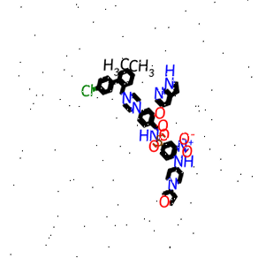 CC1(C)CCC(CN2CCN(c3ccc(C(=O)NS(=O)(=O)c4ccc(NC5CCN(C6CCOC6)CC5)c([N+](=O)[O-])c4)c(Oc4cnc5[nH]ccc5c4)c3)CC2)=C(c2ccc(Cl)cc2)C1